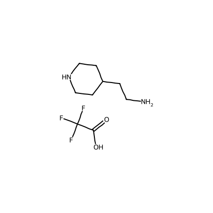 NCCC1CCNCC1.O=C(O)C(F)(F)F